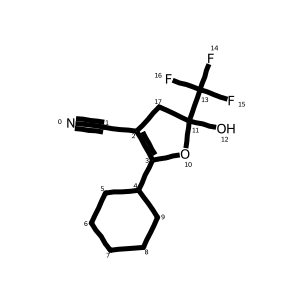 N#CC1=C(C2CCCCC2)OC(O)(C(F)(F)F)C1